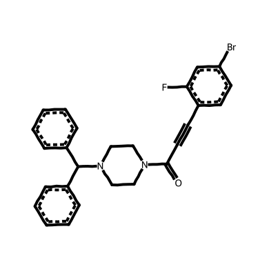 O=C(C#Cc1ccc(Br)cc1F)N1CCN(C(c2ccccc2)c2ccccc2)CC1